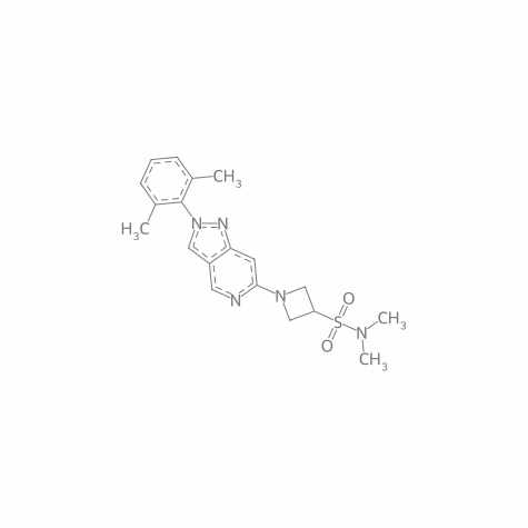 Cc1cccc(C)c1-n1cc2cnc(N3CC(S(=O)(=O)N(C)C)C3)cc2n1